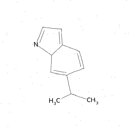 CC(C)C1=CC2N=CC=C2C=C1